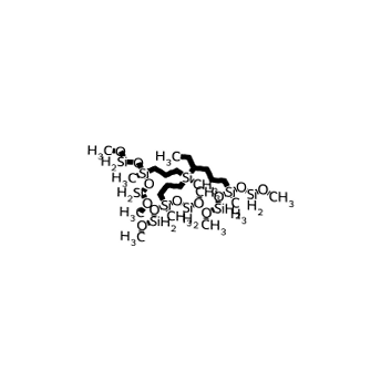 CCC(CCC[Si](C)(O[SiH2]OC)O[SiH2]OC)[Si](C)(CCC[Si](C)(O[SiH2]OC)O[SiH2]OC)CCC[Si](C)(O[SiH2]OC)O[SiH2]OC